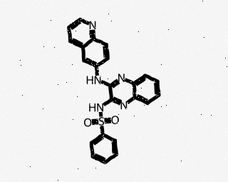 O=S(=O)(Nc1nc2ccccc2nc1Nc1ccc2ncccc2c1)c1ccccc1